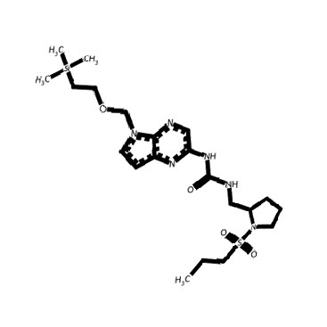 CCCS(=O)(=O)N1CCCC1CNC(=O)Nc1cnc2c(ccn2COCC[Si](C)(C)C)n1